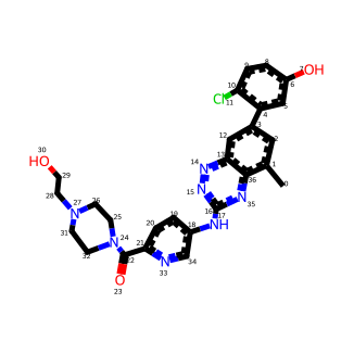 Cc1cc(-c2cc(O)ccc2Cl)cc2nnc(Nc3ccc(C(=O)N4CCN(CCO)CC4)nc3)nc12